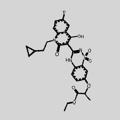 CCOC(=O)C(C)Oc1ccc2c(c1)S(=O)(=O)N=C(c1c(O)c3cc(F)ccc3n(CCC3CC3)c1=O)N2